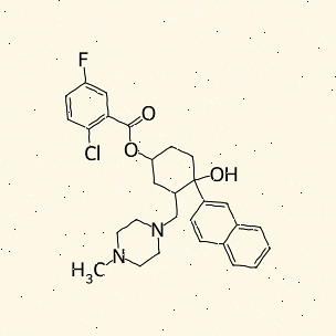 CN1CCN(CC2CC(OC(=O)c3cc(F)ccc3Cl)CCC2(O)c2ccc3ccccc3c2)CC1